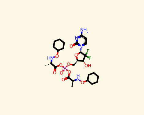 C[C@H](NOC1CCCCC1)C(=O)OP(=O)(OC[C@H]1O[C@@H](n2ccc(N)nc2=O)C(F)(F)[C@@H]1O)OC(=O)[C@H](C)NOC1CCCCC1